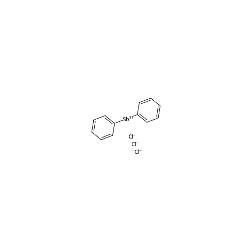 [Cl-].[Cl-].[Cl-].c1cc[c]([Sb+3][c]2ccccc2)cc1